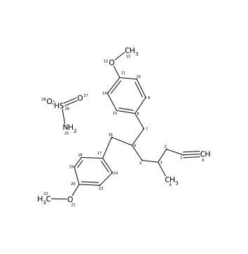 C#CCC(C)CC(Cc1ccc(OC)cc1)Cc1ccc(OC)cc1.N[SH](=O)=O